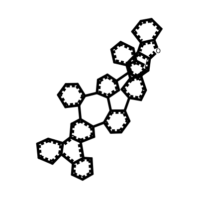 c1ccc2c(c1)-c1cc3c4ccccc4c4ccccc4c3cc1-c1cccc(-c3ccc4oc5ccccc5c4c3)c1-c1cc(-c3ccc4oc5ccccc5c4c3)ccc1-2